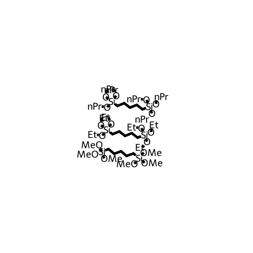 CCCO[Si](CCCCC[Si](OCCC)(OCCC)OCCC)(OCCC)OCCC.CCO[Si](CCCCC[Si](OCC)(OCC)OCC)(OCC)OCC.CO[Si](CCCCC[Si](OC)(OC)OC)(OC)OC